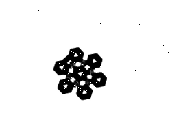 c1ccc2c(c1)B1c3ccccc3B3c4c1c1c5c6c4-n4c7c3cccc7c3cccc(c34)B6c3ccccc3N5c3ccccc3B21